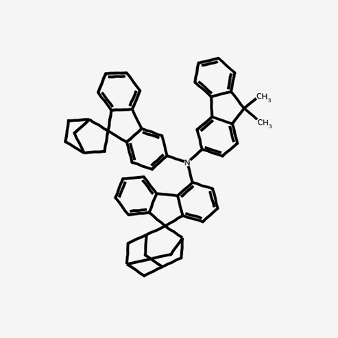 CC1(C)c2ccccc2-c2cc(N(c3ccc4c(c3)-c3ccccc3C43CC4CCC3C4)c3cccc4c3-c3ccccc3C43C4CC5CC(C4)CC3C5)ccc21